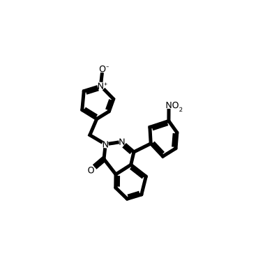 O=c1c2ccccc2c(-c2cccc([N+](=O)[O-])c2)nn1Cc1cc[n+]([O-])cc1